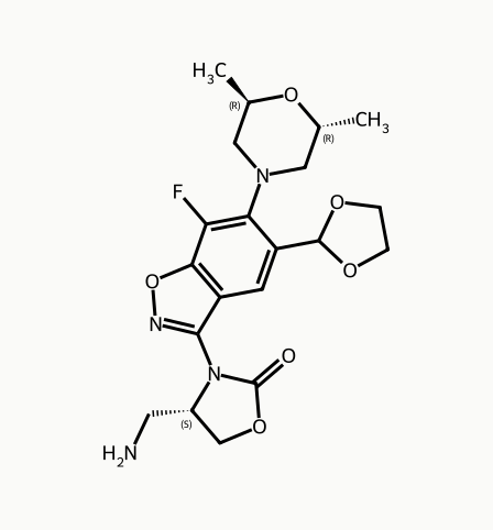 C[C@@H]1CN(c2c(C3OCCO3)cc3c(N4C(=O)OC[C@@H]4CN)noc3c2F)C[C@@H](C)O1